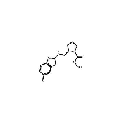 CC(C)(C)OC(=O)N1CCCC1CNc1nc2ccc(Br)cc2s1